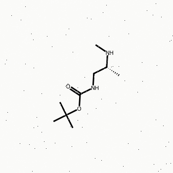 CN[C@H](C)CNC(=O)OC(C)(C)C